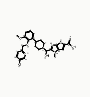 COc1cccc(C2CCN(C(O)c3nc4sc(C(=O)O)cc4n3C)CC2)c1OCc1ccc(Cl)cn1